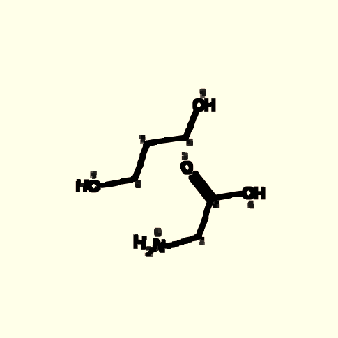 NCC(=O)O.OCCCO